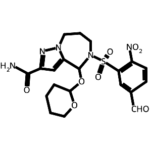 NC(=O)c1cc2n(n1)CCCN(S(=O)(=O)c1cc(C=O)ccc1[N+](=O)[O-])C2OC1CCCCO1